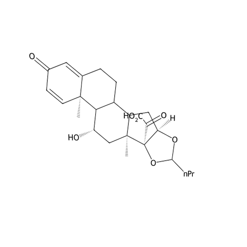 CCCC1O[C@@H]2CC3C4CCC5=CC(=O)C=C[C@]5(C)C4[C@@H](O)C[C@]3(C)[C@]2(C(=O)C(=O)O)O1